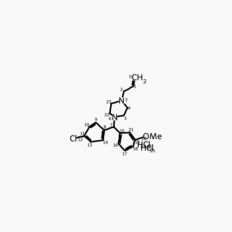 C=CCN1CCN(C(c2ccc(Cl)cc2)c2cccc(OC)c2)CC1.Cl.Cl